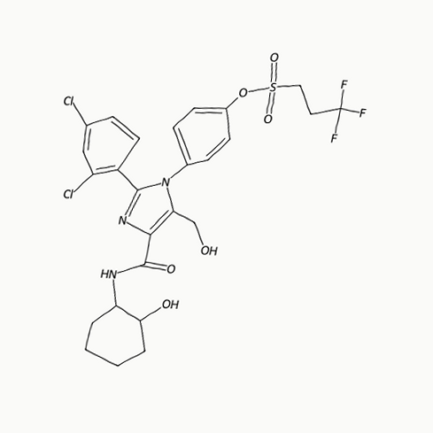 O=C(NC1CCCCC1O)c1nc(-c2ccc(Cl)cc2Cl)n(-c2ccc(OS(=O)(=O)CCC(F)(F)F)cc2)c1CO